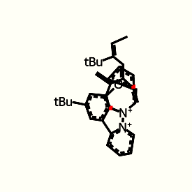 C=C1CC[N+]23c4c(cccc4/C1=C/C(=C\C)C(C)(C)C)Oc1cc(C(C)(C)C)cc(c12)-c1cccc[n+]13